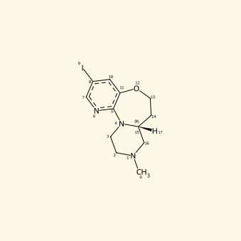 CN1CCN2c3ncc(I)cc3OCC[C@@H]2C1